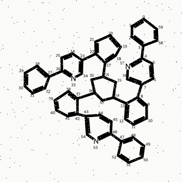 c1ccc(-c2ccc(-c3ccccc3C3CC(c4ccccc4-c4ccc(-c5ccccc5)nc4)CC(c4ccccc4-c4ccc(-c5ccccc5)nc4)C3)cn2)cc1